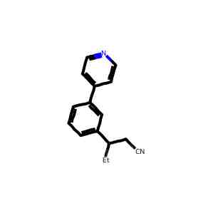 CCC(CC#N)c1cccc(-c2ccncc2)c1